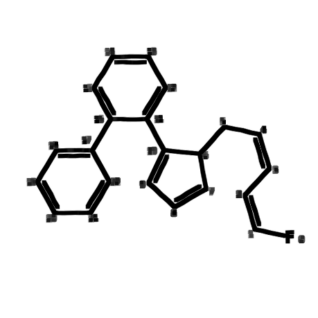 F/C=C\C=C/CC1C=CC=C1c1ccccc1-c1ccccc1